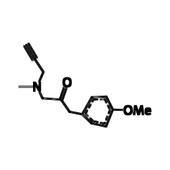 C#CCN(C)CC(=O)Cc1ccc(OC)cc1